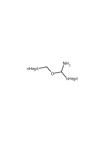 CCCCCCCCOC(N)CCCCCCC